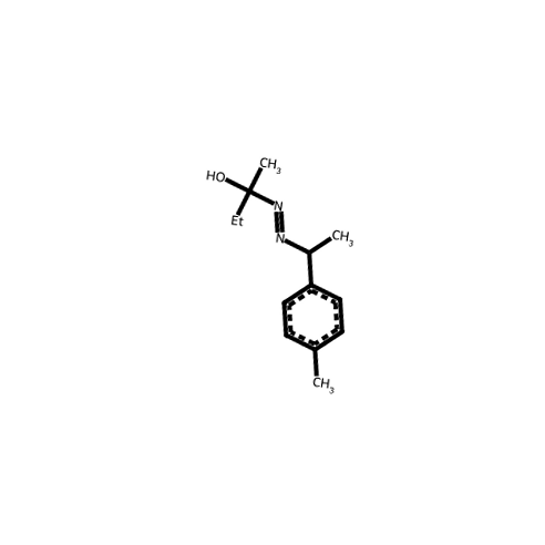 CCC(C)(O)/N=N/C(C)c1ccc(C)cc1